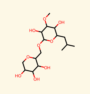 COC1C(O)C(CC(C)C)OC(OCC2OCC(O)C(O)C2O)C1O